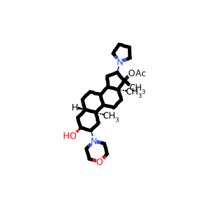 CC(=O)OC1(C)[C@@H](N2CCCC2)CC2C3CC[C@H]4C[C@H](O)[C@@H](N5CCOCC5)C[C@]4(C)C3CC[C@@]21C